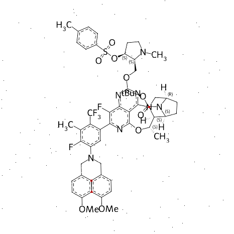 COc1ccc(CN(Cc2ccc(OC)cc2)c2cc(-c3nc4c5c(nc(OC[C@H]6[C@@H](OS(=O)(=O)c7ccc(C)cc7)CCN6C)nc5c3F)N3C[C@H]5CC[C@@H]([C@H]3[C@H](C)O4)N5C(=O)OC(C)(C)C)c(C(F)(F)F)c(C)c2F)cc1